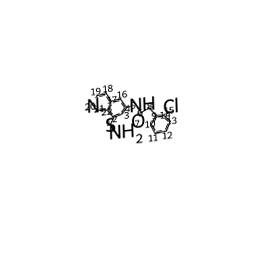 NSc1cc(NC(=O)Cc2ccccc2Cl)cc2ccncc12